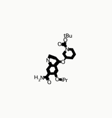 CC(C)Oc1cc2c(O[C@@H]3CCCN(C(=O)OC(C)(C)C)C3)ccnc2cc1C(N)=O